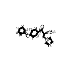 CCCCC(Cn1ccnc1)C(=O)c1ccc(Oc2ccccc2)cc1